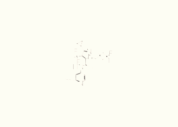 CSc1cc(NC(=O)c2c(C(F)(F)F)c(C3CC3)nn2CC2(C)CC(F)(F)C2)ccn1